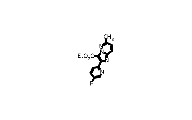 CCOC(=O)c1c(-c2ccc(F)cn2)nc2ccc(C)nn12